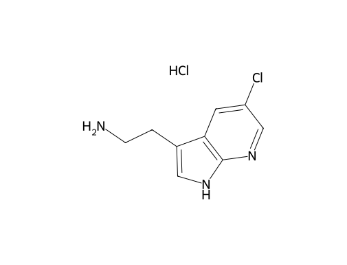 Cl.NCCc1c[nH]c2ncc(Cl)cc12